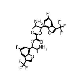 CC(N)C(OC(=O)C(=O)OC(c1cc(F)cc2c(C(F)(F)F)coc12)C(C)N)c1cc(F)cc2c(C(F)(F)F)coc12